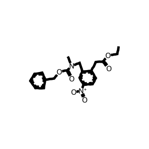 CCOC(=O)Cc1ccc([N+](=O)[O-])cc1CN(C)C(=O)OCc1ccccc1